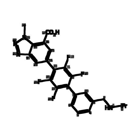 CC(C)NCc1cccc(-c2c(F)c(F)c(-c3cc(C(=O)O)c4c(c3)nnn4C)c(F)c2F)c1